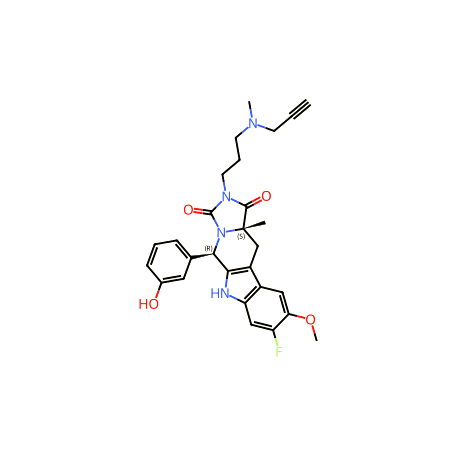 C#CCN(C)CCCN1C(=O)N2[C@H](c3cccc(O)c3)c3[nH]c4cc(F)c(OC)cc4c3C[C@@]2(C)C1=O